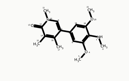 CNc1c(OC)cc(-c2cn(C)c(=O)c(C)c2C)cc1OC